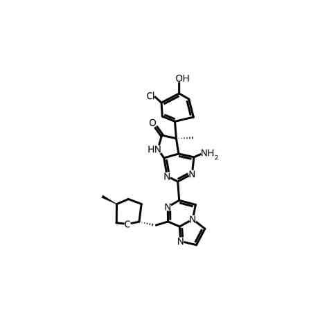 C[C@@]1(c2ccc(O)c(Cl)c2)C(=O)Nc2nc(-c3cn4ccnc4c(C[C@H]4CC[C@H](C)CC4)n3)nc(N)c21